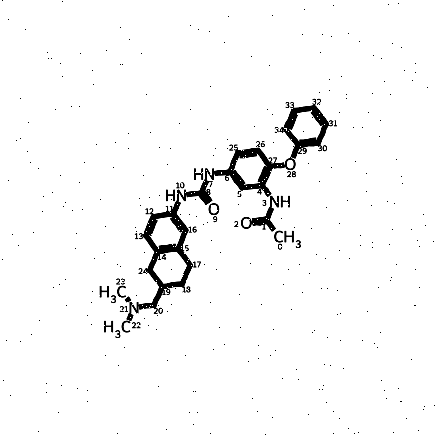 CC(=O)Nc1cc(NC(=O)Nc2ccc3c(c2)CCC(CN(C)C)C3)ccc1Oc1ccccc1